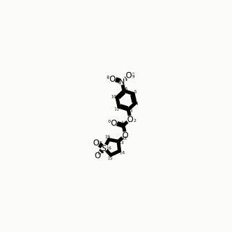 O=C(Oc1ccc([N+](=O)[O-])cc1)OC1CCS(=O)(=O)C1